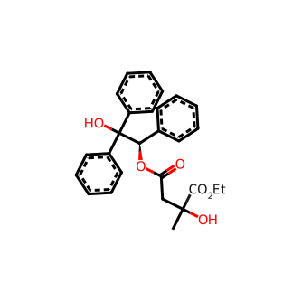 CCOC(=O)C(C)(O)CC(=O)O[C@H](c1ccccc1)C(O)(c1ccccc1)c1ccccc1